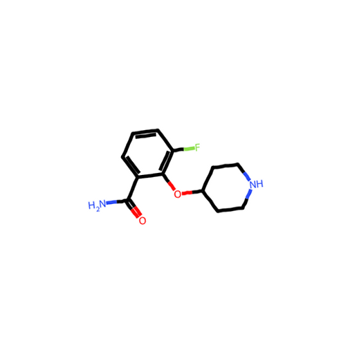 NC(=O)c1cccc(F)c1OC1CCNCC1